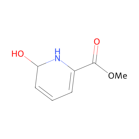 COC(=O)C1=CC=CC(O)N1